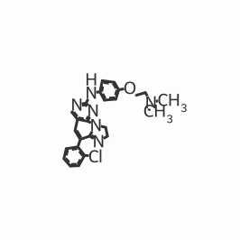 CN(C)CCOc1ccc(Nc2ncc3c(n2)N2CCN=C2C(c2ccccc2Cl)=C3)cc1